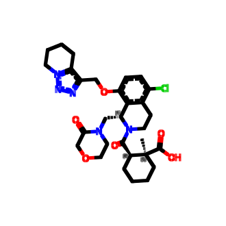 C[C@]1(C(=O)O)CCCC[C@H]1C(=O)N1CCc2c(Cl)ccc(OCc3nnn4c3CCCC4)c2[C@H]1CN1CCOCC1=O